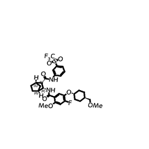 COC[C@H]1CC[C@H](Oc2cc(C(=O)N[C@@H]3[C@@H]4CC[C@@H](C4)[C@@H]3C(=O)Nc3cccc(S(=O)(=O)C(F)(F)F)c3)c(OC)cc2F)CC1